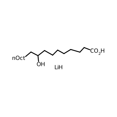 CCCCCCCCCC(O)CCCCCCCC(=O)O.[LiH]